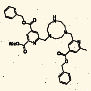 COC(=O)c1cc(C(=O)OCc2ccccc2)cc(CN2CCNCCN(Cc3cc(C(=O)OCc4ccccc4)cc(C)n3)CC2)n1